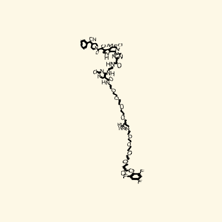 COc1cnc(-n2cnc(C(=O)NCCNc3nc(Cl)ncc3C(=O)NCCOCCOCCOCCOCC3=CN(CCOCCOCCOCCOCCC(=O)Oc4c(F)cc(F)cc4F)NN3)n2)c2[nH]cc(C(=O)C(=O)N3CCC(=C(C#N)c4ccccc4)CC3)c12